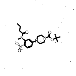 CCCC(=O)N(C)c1cc(N2CCN(C(=O)OC(C)(C)C)CC2)ccc1[N+](=O)[O-]